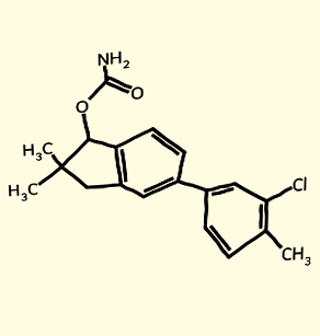 Cc1ccc(-c2ccc3c(c2)CC(C)(C)C3OC(N)=O)cc1Cl